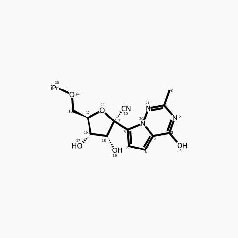 Cc1nc(O)c2ccc([C@]3(C#N)O[C@H](COC(C)C)[C@@H](O)[C@H]3O)n2n1